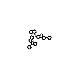 c1ccc(-c2ccc3c(c2)oc2cc(N(c4ccc5ccc6c(-c7ccccc7)c7ccccc7n6c5c4)c4cccc5ccccc45)ccc23)cc1